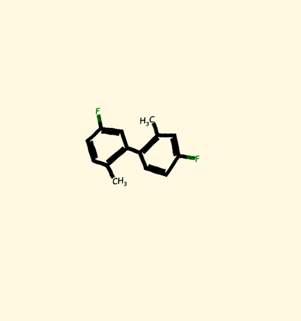 Cc1cc(F)ccc1-c1cc(F)ccc1C